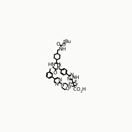 CC(C)(C)OC(=O)NCC1CCC(C(=O)N[C@@H](Cc2cccc(-c3cnc(N4CCOCC4)nc3)c2)C(=O)Nc2ccc(-c3n[nH]c(C(F)(F)C(F)(F)C(=O)O)n3)cc2)CC1